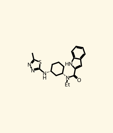 CCN(C(=O)c1cc2ccccc2[nH]1)[C@H]1CCC[C@@H](Nc2nnc(C)s2)C1